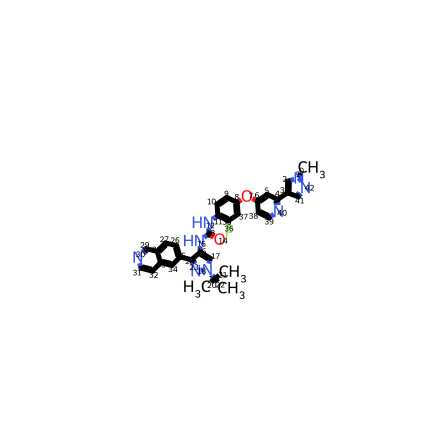 Cn1cc(-c2cc(Oc3ccc(NC(=O)Nc4cn(C(C)(C)C)nc4-c4ccc5cnccc5c4)c(F)c3)ccn2)cn1